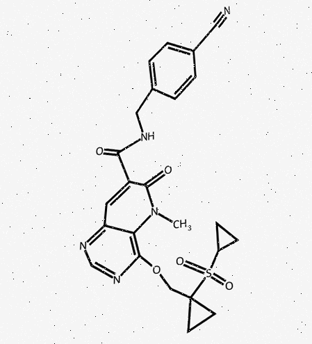 Cn1c(=O)c(C(=O)NCc2ccc(C#N)cc2)cc2ncnc(OCC3(S(=O)(=O)C4CC4)CC3)c21